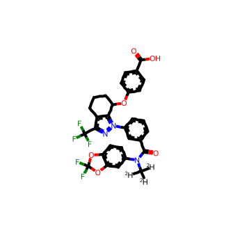 [2H]C([2H])([2H])N(C(=O)c1cccc(-n2nc(C(F)(F)F)c3c2C(Oc2ccc(C(=O)O)cc2)CCC3)c1)c1ccc2c(c1)OC(F)(F)O2